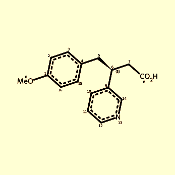 COc1ccc(C[C@@H](CC(=O)O)c2cccnc2)cc1